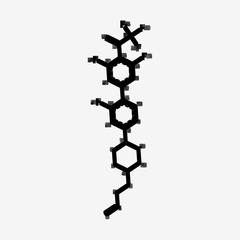 C=CCCC1CCC(c2ccc(-c3cc(F)c(C(=C)C(F)(F)F)c(F)c3)c(F)c2)CC1